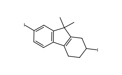 CC1(C)C2=C(CCC(I)C2)c2ccc(I)cc21